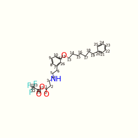 O=C(CCNCCc1cccc(OCCCCCCCc2ccccc2)c1)OC(=O)C(F)(F)F